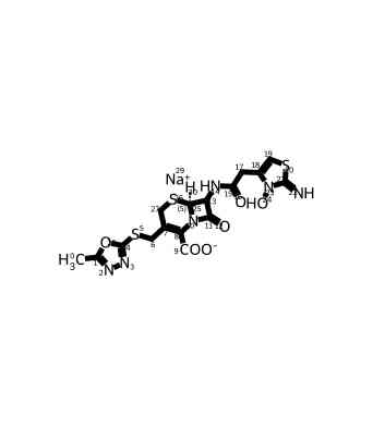 Cc1nnc(SCC2=C(C(=O)[O-])N3C(=O)C(NC(=O)Cc4csc(=N)n4O)[C@@H]3SC2)o1.[Na+]